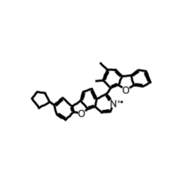 Cc1cc2c(oc3ccccc32)c(-c2c3ccc4c5cc(C6CCCC6)ccc5oc4c3cc[n+]2C)c1C